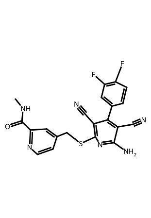 CNC(=O)c1cc(CSc2nc(N)c(C#N)c(-c3ccc(F)c(F)c3)c2C#N)ccn1